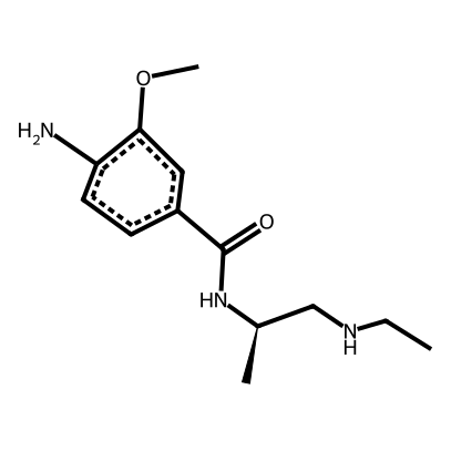 CCNC[C@@H](C)NC(=O)c1ccc(N)c(OC)c1